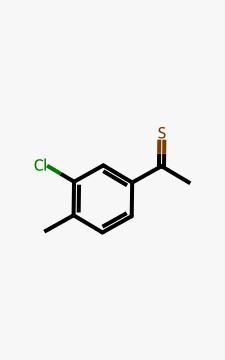 CC(=S)c1ccc(C)c(Cl)c1